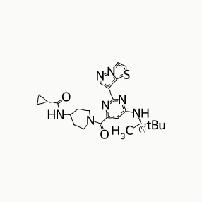 C[C@H](Nc1cc(C(=O)N2CCC(NC(=O)C3CC3)CC2)nc(-c2cnn3ccsc23)n1)C(C)(C)C